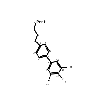 CCCC(C)CCCc1ccc(-c2cc(F)c(F)c(F)c2)cc1